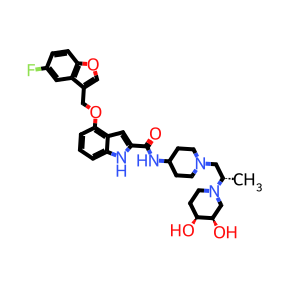 C[C@@H](CN1CCC(NC(=O)c2cc3c(OCc4coc5ccc(F)cc45)cccc3[nH]2)CC1)N1CC[C@H](O)[C@H](O)C1